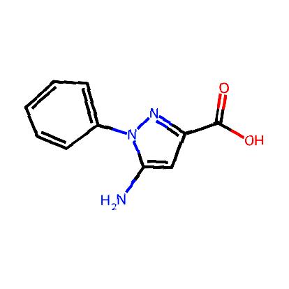 Nc1cc(C(=O)O)nn1-c1ccccc1